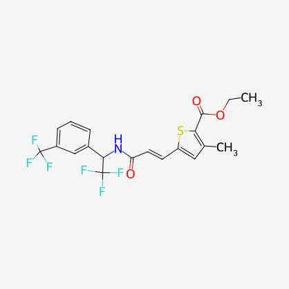 CCOC(=O)c1sc(C=CC(=O)NC(c2cccc(C(F)(F)F)c2)C(F)(F)F)cc1C